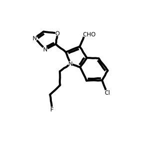 O=Cc1c(-c2nnco2)n(CCCF)c2cc(Cl)ccc12